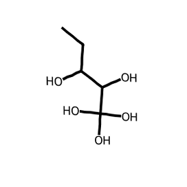 CCC(O)C(O)C(O)(O)O